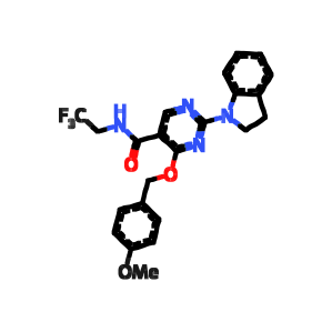 COc1ccc(COc2nc(N3CCc4ccccc43)ncc2C(=O)NCC(F)(F)F)cc1